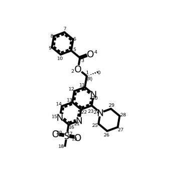 C[C@@H](OC(=O)c1ccccc1)c1cc2cnc(S(C)(=O)=O)nc2c(N2CCCCC2)n1